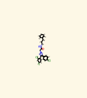 O=C(Cn1nc(-c2ccc(Cl)cc2)c(-c2ccc(Cl)cc2Cl)n1)NCCCc1ccccc1